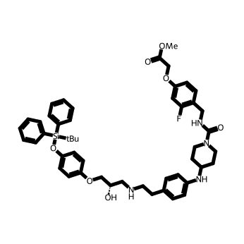 COC(=O)COc1ccc(CNC(=O)N2CCC(Nc3ccc(CCNC[C@H](O)COc4ccc(O[Si](c5ccccc5)(c5ccccc5)C(C)(C)C)cc4)cc3)CC2)c(F)c1